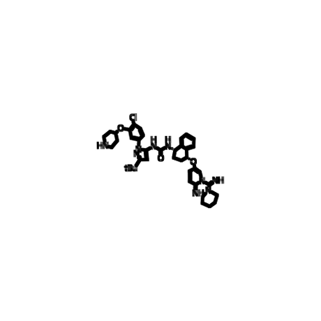 CC(C)(C)c1cc(NC(=O)N[C@H]2CC[C@@H](Oc3ccc(=N)n(C(=N)N4CCCCC4)c3)c3ccccc32)n(-c2ccc(Cl)c(OC3CCNCC3)c2)n1